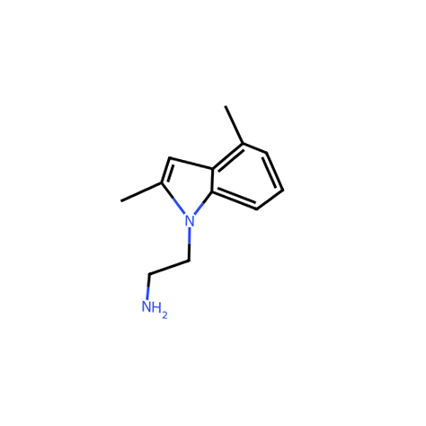 Cc1cccc2c1cc(C)n2CCN